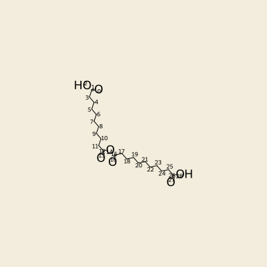 O=C(O)CCCCCCCCCC(=O)OC(=O)CCCCCCCCCC(=O)O